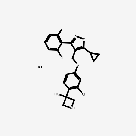 Cl.OC1(c2ccc(OCc3c(-c4c(Cl)cccc4Cl)noc3C3CC3)cc2Cl)CNC1